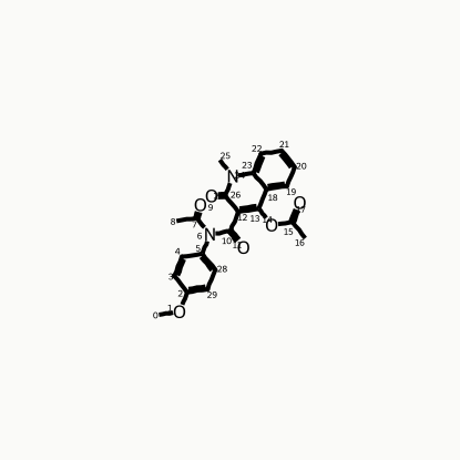 COc1ccc(N(C(C)=O)C(=O)c2c(OC(C)=O)c3ccccc3n(C)c2=O)cc1